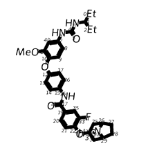 CCC(CC)NC(=O)Nc1ccc(Oc2ccc(NC(=O)c3ccc(OC4CC5CCC(C4)N5C)c(F)c3)cc2)c(OC)c1